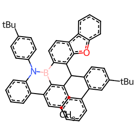 Cc1cc2c3c(c1)C(c1ccc(C(C)(C)C)cc1-c1ccccc1)c1c(ccc4c1oc1ccccc14)B3N(c1ccc(C(C)(C)C)cc1)c1ccccc1-2